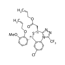 C=CCOC(=O)C[C@@H]1S[C@@H](c2cccc(OC)c2OCC=C)c2cc(Cl)ccc2-n2c1nnc2C(F)(F)F